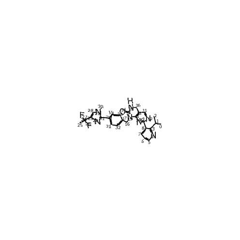 CC(C)c1ncccc1-c1ncc2c(n1)N(Cc1ccc(-c3nc(C(C)(F)F)cn3C)cc1)C(=O)NC2